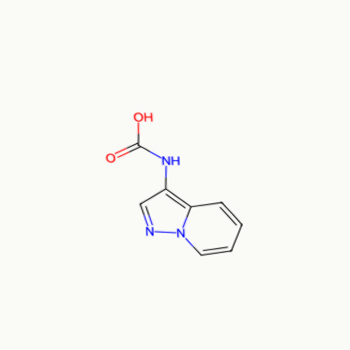 O=C(O)Nc1cnn2ccccc12